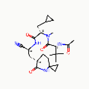 CC(=O)N[C@H](C(=O)N(C)[C@@H](CC1CC1)C(=O)N[C@H](C#N)C[C@@H]1CCC2(CC2)NC1=O)C(C)(C)C